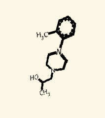 Cc1ccccc1N1CCN(CC(C)O)CC1